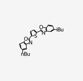 CCCCc1ccc2oc(-c3ccc(-c4nc5cc(C(C)CC)ccc5o4)s3)nc2c1